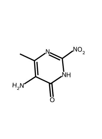 Cc1nc([N+](=O)[O-])[nH]c(=O)c1N